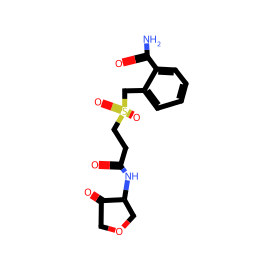 NC(=O)c1ccccc1CS(=O)(=O)C[CH]C(=O)NC1COCC1=O